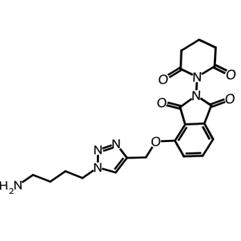 NCCCCn1cc(COc2cccc3c2C(=O)N(N2C(=O)CCCC2=O)C3=O)nn1